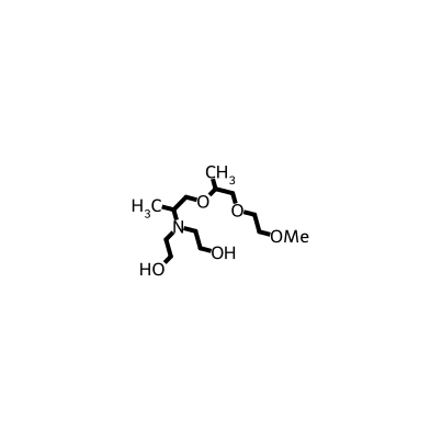 COCCOCC(C)OCC(C)N(CCO)CCO